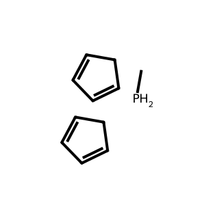 C1=CCC=C1.C1=CCC=C1.CP